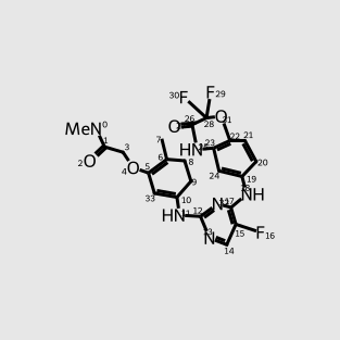 CNC(=O)COC1=C(C)CCC(Nc2ncc(F)c(Nc3ccc4c(c3)NC(=O)C(F)(F)O4)n2)=C1